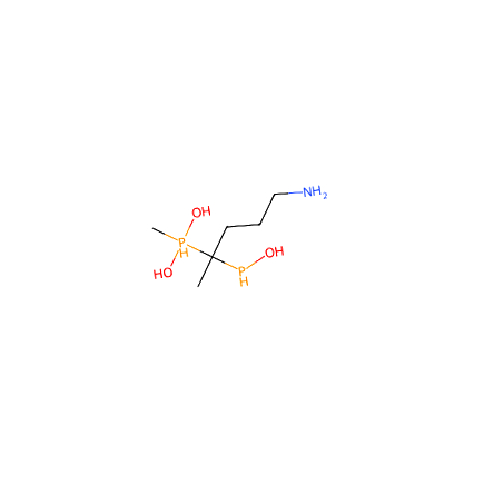 CC(CCCN)(PO)[PH](C)(O)O